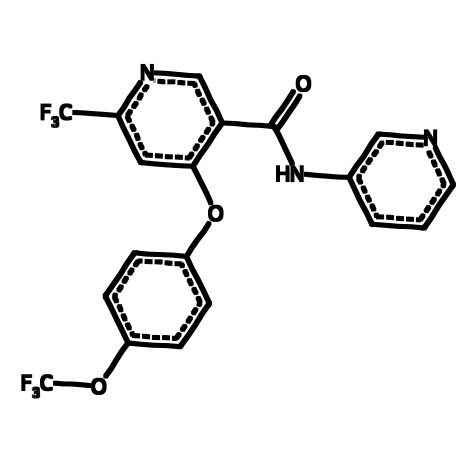 O=C(Nc1cccnc1)c1cnc(C(F)(F)F)cc1Oc1ccc(OC(F)(F)F)cc1